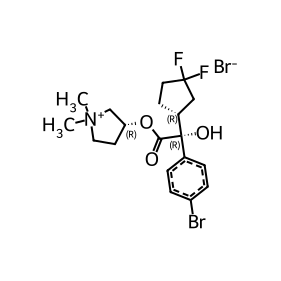 C[N+]1(C)CC[C@@H](OC(=O)[C@](O)(c2ccc(Br)cc2)[C@@H]2CCC(F)(F)C2)C1.[Br-]